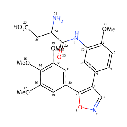 COc1ccc(-c2cnoc2-c2cc(OC)c(OC)c(OC)c2)cc1NC(=O)C(N)CC(=O)O